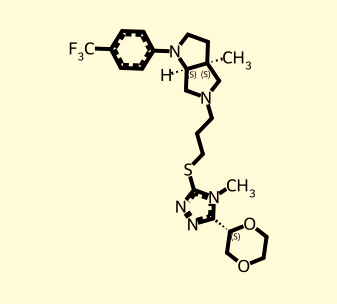 Cn1c(SCCCN2C[C@H]3N(c4ccc(C(F)(F)F)cc4)CC[C@@]3(C)C2)nnc1[C@H]1COCCO1